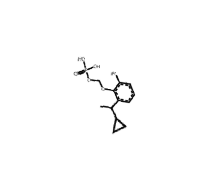 CC(C)c1cccc(C(C)C2CC2)c1OCOP(=O)(O)O